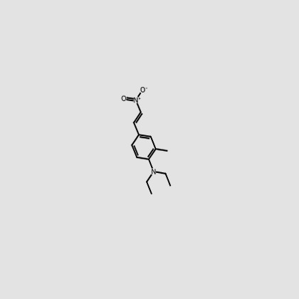 CCN(CC)c1ccc(C=C[N+](=O)[O-])cc1C